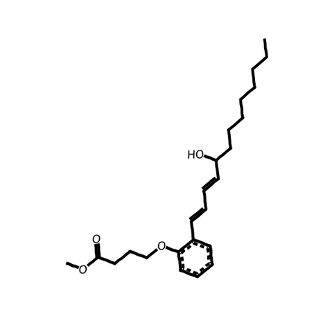 CCCCCCCCC(O)C=CC=Cc1ccccc1OCCCC(=O)OC